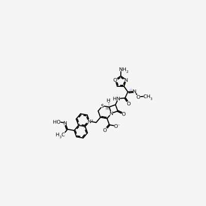 CO/N=C(\C(=O)NC1C(=O)N2C(C(=O)[O-])=C(C[n+]3cccc4c(C(C)=NO)cccc43)CS[C@@H]12)c1coc(N)n1